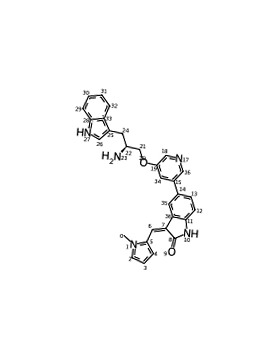 Cn1cccc1C=C1C(=O)Nc2ccc(-c3cncc(OC[C@@H](N)Cc4c[nH]c5ccccc45)c3)cc21